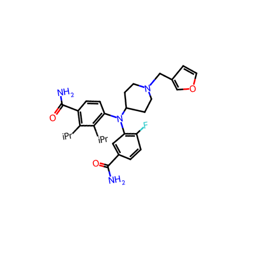 CC(C)c1c(C(N)=O)ccc(N(c2cc(C(N)=O)ccc2F)C2CCN(Cc3ccoc3)CC2)c1C(C)C